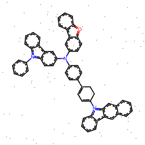 C1=C(c2ccc(N(c3ccc4oc5ccccc5c4c3)c3ccc4c(c3)c3ccccc3n4-c3ccccc3)cc2)CCC(n2c3ccccc3c3cc4ccccc4cc32)=C1